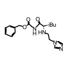 CC[C@H](C)[C@H](NCCn1ccnc1)C(=O)NC(=O)OCc1ccccc1